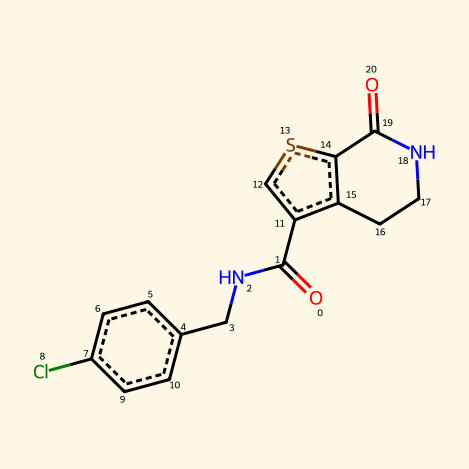 O=C(NCc1ccc(Cl)cc1)c1csc2c1CCNC2=O